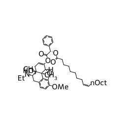 CCCCCCCC/C=C\CCCCCCCC(=O)O[C@H](C(=O)OC1=CC[C@@]2(O)[C@H](N(C)CC)Cc3ccc(OC)c4c3[C@@]2(C)[C@H]1O4)c1ccccc1